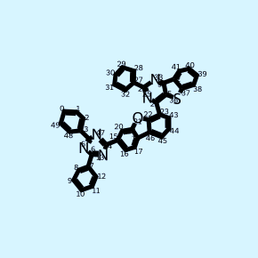 c1ccc(-c2nc(-c3ccccc3)nc(-c3ccc4c(c3)oc3c(-c5nc(-c6ccccc6)nc6c5sc5ccccc56)cccc34)n2)cc1